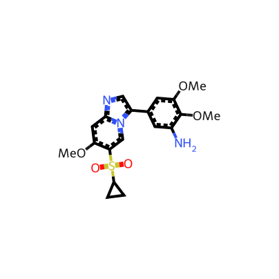 COc1cc2ncc(-c3cc(N)c(OC)c(OC)c3)n2cc1S(=O)(=O)C1CC1